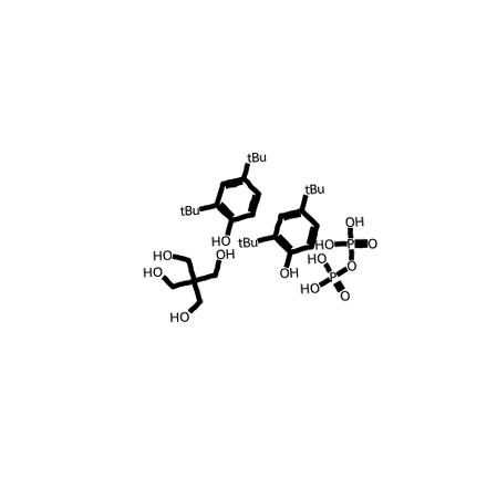 CC(C)(C)c1ccc(O)c(C(C)(C)C)c1.CC(C)(C)c1ccc(O)c(C(C)(C)C)c1.O=P(O)(O)OP(=O)(O)O.OCC(CO)(CO)CO